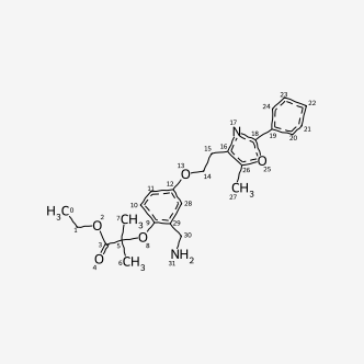 CCOC(=O)C(C)(C)Oc1ccc(OCCc2nc(-c3ccccc3)oc2C)cc1CN